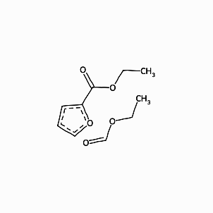 CCOC(=O)c1ccco1.CCOC=O